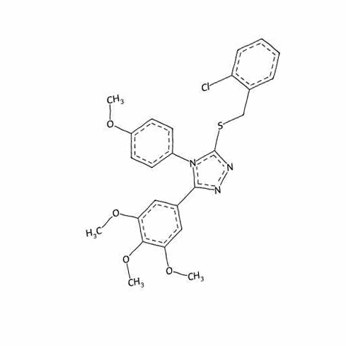 COc1ccc(-n2c(SCc3ccccc3Cl)nnc2-c2cc(OC)c(OC)c(OC)c2)cc1